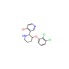 [O]c1ccncc1C1NCCCC1Oc1cccc(Cl)c1Cl